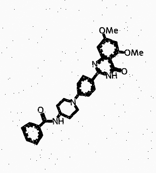 COc1cc(OC)c2c(=O)[nH]c(-c3ccc(N4CCC(NC(=O)c5ccccc5)CC4)cc3)nc2c1